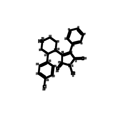 CCN1C(=O)C(c2ccccc2)=C(N2CCNCC2c2ccc(Cl)cc2)C1=O